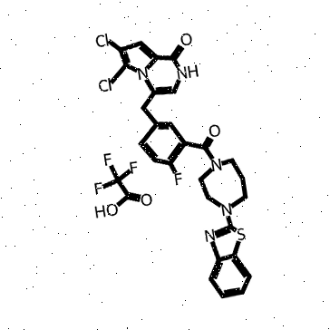 O=C(O)C(F)(F)F.O=C(c1cc(Cc2c[nH]c(=O)c3cc(Cl)c(Cl)n23)ccc1F)N1CCCN(c2nc3ccccc3s2)CC1